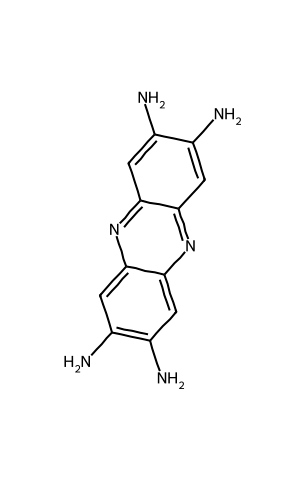 Nc1cc2nc3cc(N)c(N)cc3nc2cc1N